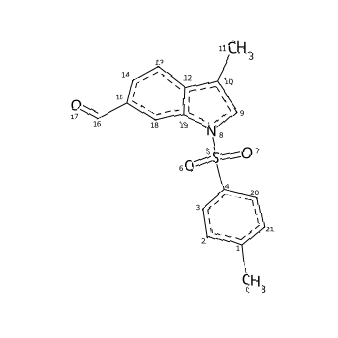 Cc1ccc(S(=O)(=O)n2cc(C)c3ccc(C=O)cc32)cc1